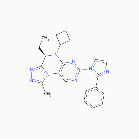 CC[C@@H]1c2nnc(C)n2-c2cnc(-n3ccnc3-c3ccccc3)nc2N1C1CCC1